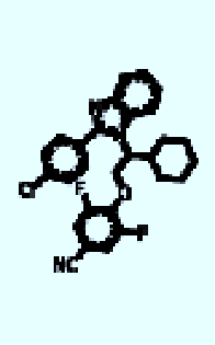 N#Cc1cc(F)c(OCC(C2CCCCC2)n2c(-c3ccc(Cl)cc3)nc3ccccc32)c(F)c1